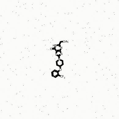 CC(=O)OCc1nc2nc(N3CCC(Oc4ccccc4C(F)(F)F)CC3)sc2c(=O)[nH]1